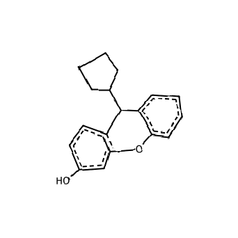 Oc1ccc2c(c1)Oc1ccccc1C2C1CCCC1